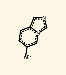 CCCc1ccc2cncn2c1